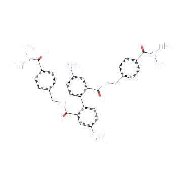 CCCCN(CCCC)C(=O)c1ccc(COC(=O)c2cc(N)ccc2-c2ccc(N)cc2C(=O)OCc2ccc(C(=O)N(CCCC)CCCC)cc2)cc1